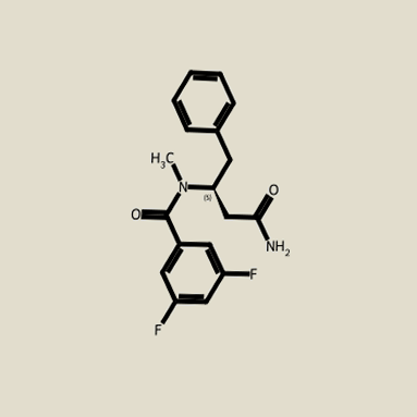 CN(C(=O)c1cc(F)cc(F)c1)[C@H](CC(N)=O)Cc1ccccc1